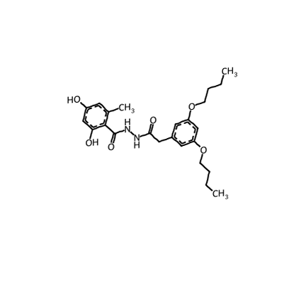 CCCCOc1cc(CC(=O)NNC(=O)c2c(C)cc(O)cc2O)cc(OCCCC)c1